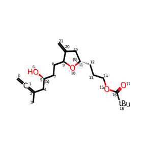 C=C=C(C)C[C@@H](O)CCC1O[C@@H](CCCOC(=O)C(C)(C)C)CC1=C